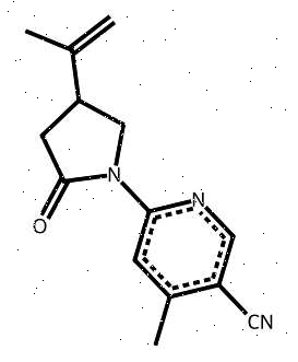 C=C(C)C1CC(=O)N(c2cc(C)c(C#N)cn2)C1